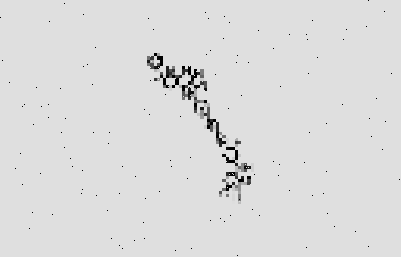 Nc1ncnc2c1c(-c1ccc(Oc3ccccc3)cc1)nn2C1CCN(C2CN(C3CN(c4ccc(NC5CCC(=O)NC5=O)cc4F)C3)C2)CC1